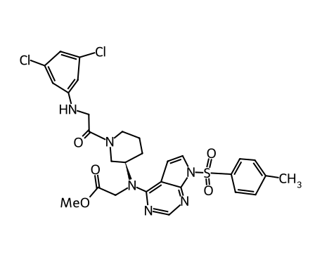 COC(=O)CN(c1ncnc2c1ccn2S(=O)(=O)c1ccc(C)cc1)[C@@H]1CCCN(C(=O)CNc2cc(Cl)cc(Cl)c2)C1